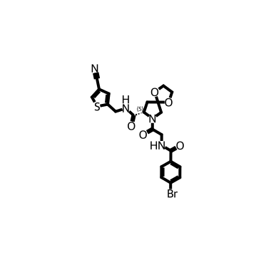 N#Cc1csc(CNC(=O)[C@@H]2CC3(CN2C(=O)CNC(=O)c2ccc(Br)cc2)OCCO3)c1